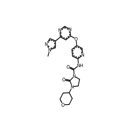 Cn1cc(-c2cc(Oc3ccc(NC(=O)N4CCN(C5CCOCC5)C4=O)nc3)ncn2)cn1